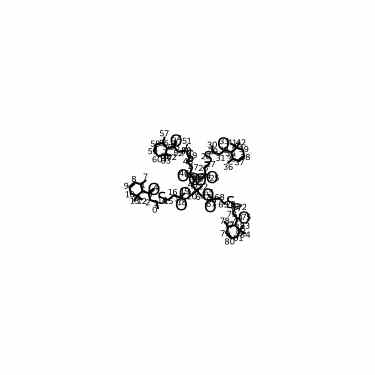 CC(CC(=O)C1C(C)C=CCC1(C)C)SCCC(=O)OCC(COC(=O)CCSC(C)CC(=O)C1C(C)C=CCC1(C)C)(COC(=O)CCS[C@H](C)CC(=O)C1C(C)C=CCC1(C)C)COC(=O)CCS[C@@H](C)CC(=O)C1C(C)C=CCC1(C)C